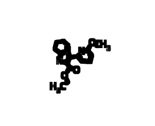 CCOC(=O)c1nc2n(c1-c1cccc(OC)n1)CCCC2